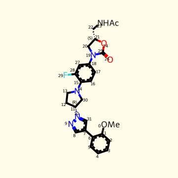 COc1ccccc1-c1cnn([C@@H]2CCN(c3ccc(N4C[C@H](CNC(C)=O)OC4=O)cc3F)C2)c1